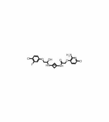 Nc1nc(Cl)ccc1OCC(=O)NC12CC(NC(O)COc3ccc(Cl)c(F)c3)(C1)C2